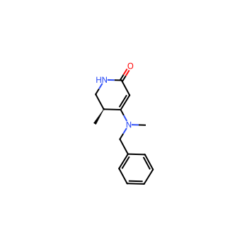 C[C@H]1CNC(=O)C=C1N(C)Cc1ccccc1